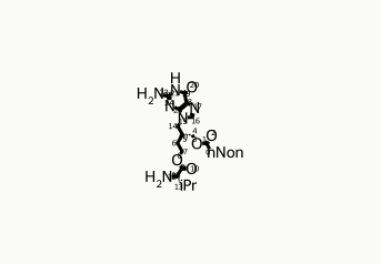 CCCCCCCCCC(=O)OC[C@H](CCOC(=O)[C@@H](N)C(C)C)Cn1cnc2c(=O)[nH]c(N)nc21